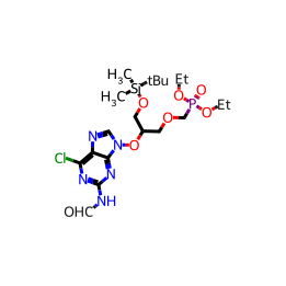 CCOP(=O)(COCC(CO[Si](C)(C)C(C)(C)C)On1cnc2c(Cl)nc(NC=O)nc21)OCC